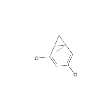 C[C@]12C=C(Cl)C=C(Cl)C1C2